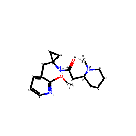 COc1ncccc1CC1(NC(=O)CC2CCCCN2C)CC1